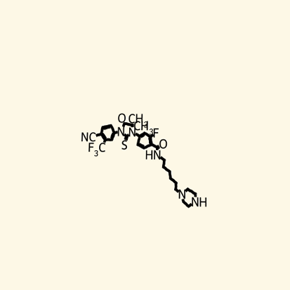 CC1(C)C(=O)N(c2ccc(C#N)c(C(F)(F)F)c2)C(=S)N1c1ccc(C(=O)NCCCCCCN2CCNCC2)c(F)c1